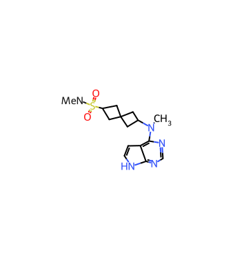 CNS(=O)(=O)C1CC2(CC(N(C)c3ncnc4[nH]ccc34)C2)C1